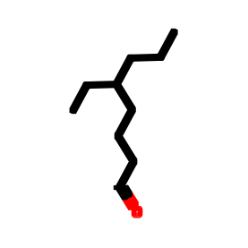 CCCC(CC)CCC[C]=O